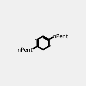 CCCCCC1=[C]C=C(CCCCC)[C]C1